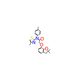 Cc1ccc(N(C(=O)COc2cccc3c2OC(C)(C)C3)c2nc(C)cs2)cc1